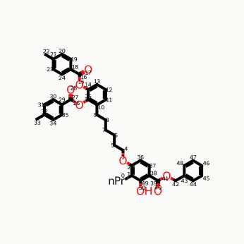 CCCc1c(OCCCCCCc2cccc(OC(=O)c3ccc(C)cc3)c2OC(=O)c2ccc(C)cc2)ccc(C(=O)OCc2ccccc2)c1O